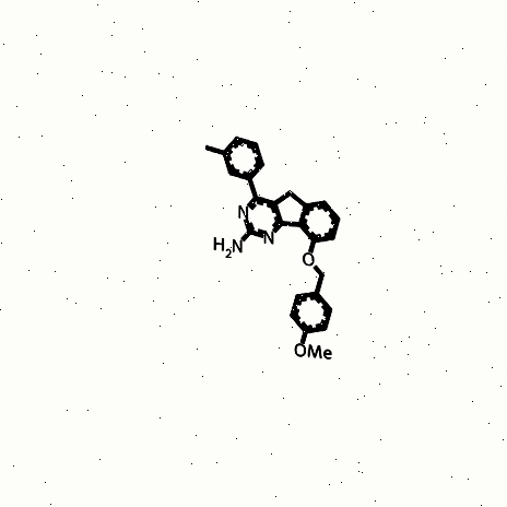 COc1ccc(COc2cccc3c2-c2nc(N)nc(-c4cccc(C)c4)c2C3)cc1